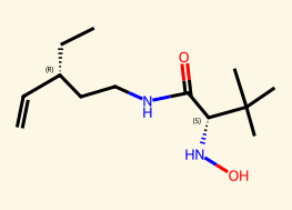 C=C[C@H](CC)CCNC(=O)[C@@H](NO)C(C)(C)C